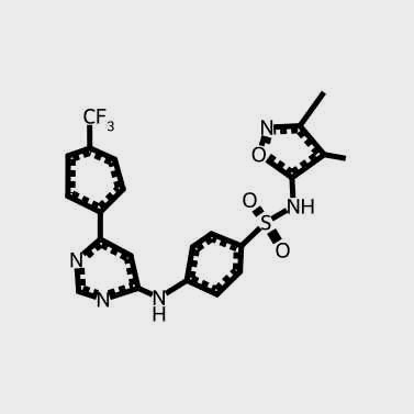 Cc1noc(NS(=O)(=O)c2ccc(Nc3cc(-c4ccc(C(F)(F)F)cc4)ncn3)cc2)c1C